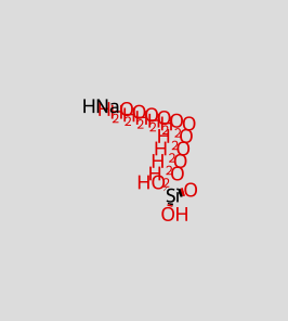 O.O.O.O.O.O.O.O.O.O.O=[Si](O)O.[NaH]